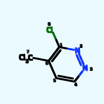 Clc1nnccc1C(Cl)(Cl)Cl